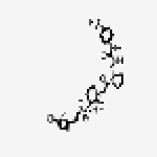 O=C(NC[C@@H]1CCCN1C(=O)CN1CCC[C@H](NS(=O)(=O)/C=C/c2ccc(Cl)s2)C1=O)Nc1ccc(C(F)(F)F)cc1